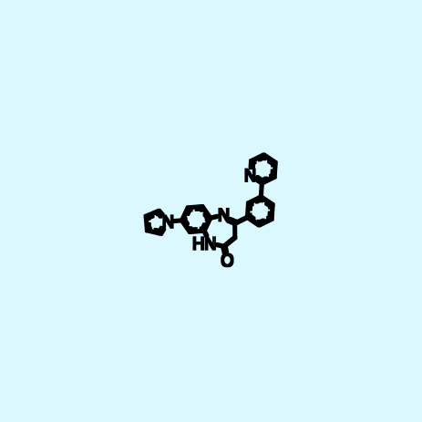 O=C1CC(c2cccc(-c3ccccn3)c2)=Nc2ccc(-n3cccc3)cc2N1